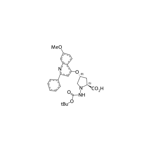 COc1ccc2c(O[C@@H]3C[C@@H](C(=O)O)N(NC(=O)OC(C)(C)C)C3)cc(-c3ccccc3)nc2c1